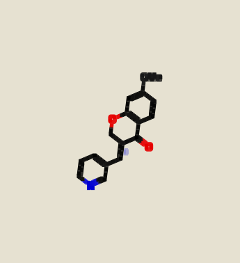 COc1ccc2c(c1)OC/C(=C\c1cccnc1)C2=O